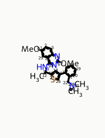 COc1ccc2nc(OC)nc(NC(C)c3cc(-c4ccccc4CN(C)C)cs3)c2c1